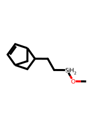 CO[SiH2]CCC1CC2C=CC1C2